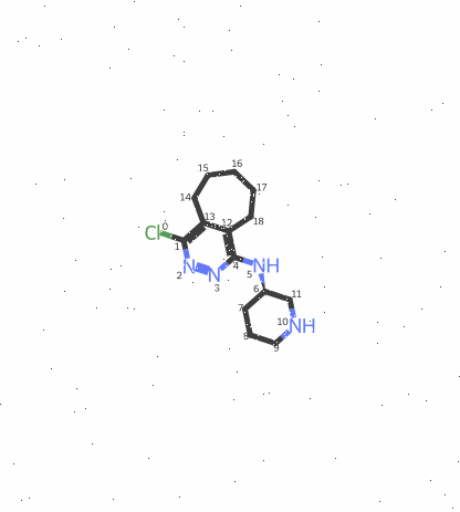 Clc1nnc(N[C@@H]2CCCNC2)c2c1CCCCC2